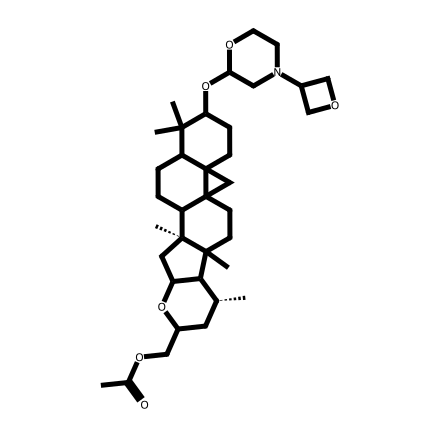 CC(=O)OCC1C[C@@H](C)C2C(C[C@@]3(C)C4CCC5C(C)(C)C(OC6CN(C7COC7)CCO6)CCC56CC46CCC23C)O1